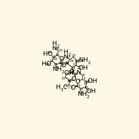 CC(O[C@H]1OC(CN)[C@@H](O)C(O)C1N)[C@@H](CO)OCOC1C(O)[C@H](N)CC(N)[C@H]1O[C@H]1OC(CN)[C@@H](O)C(O)C1N